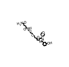 NC(=O)CCC(=O)NCOCCOCCc1cc2nc(-c3cccc(O)c3)nc(N3CCOCC3)c2o1